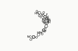 [2H]C1([2H])N(CC2CCN(c3ccc(C(=O)NC4CCC(Oc5ccc(C#N)c(Cl)c5)CC4)nn3)CC2)C([2H])([2H])C([2H])([2H])N(c2c(F)c(F)c3c(c2F)C(=O)N(C2CCC(=O)NC2=O)C3=O)C1([2H])[2H]